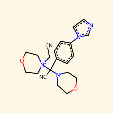 N#CC[N+]1(C(C#N)(c2ccc(-n3ccnc3)cc2)N2CCOCC2)CCOCC1